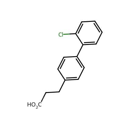 O=C(O)CCc1ccc(-c2ccccc2Cl)cc1